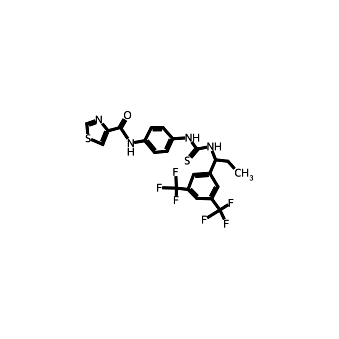 CCC(NC(=S)Nc1ccc(NC(=O)c2cscn2)cc1)c1cc(C(F)(F)F)cc(C(F)(F)F)c1